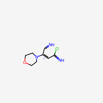 N=C/C(=C\C(=N)Cl)N1CCOCC1